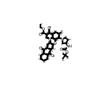 CCOC(=O)c1cn2c3cc4c(=O)c5ccccc5c(=O)c4cc3oc3c(N4CCC(NC(=O)OC(C)(C)C)C4)c(F)cc(c1=O)c32